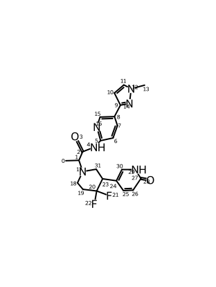 CC(C(=O)Nc1ccc(-c2ccn(C)n2)cn1)N1CCC(F)(F)C(c2ccc(=O)[nH]c2)C1